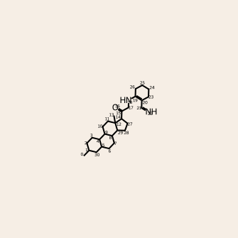 CC1CCC2C(CCC3C2CCC2(C)C(C(=O)CNC4=C(C=N)CCCC4)CCC32)C1